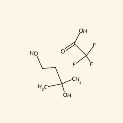 CC(C)(O)CCO.O=C(O)C(F)(F)F